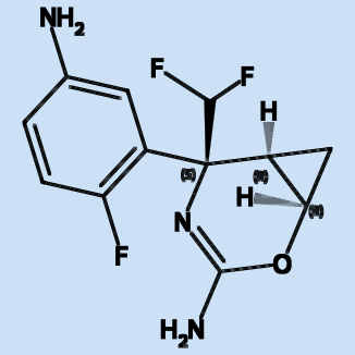 NC1=N[C@@](c2cc(N)ccc2F)(C(F)F)[C@H]2C[C@H]2O1